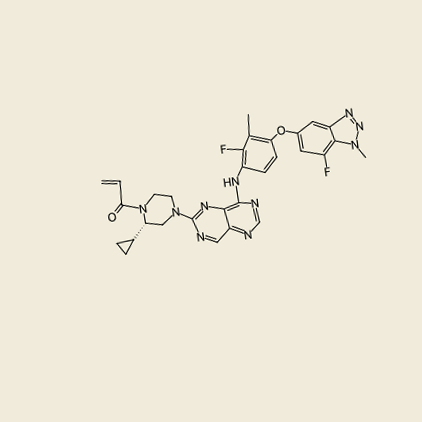 C=CC(=O)N1CCN(c2ncc3ncnc(Nc4ccc(Oc5cc(F)c6c(c5)nnn6C)c(C)c4F)c3n2)C[C@@H]1C1CC1